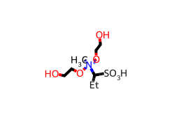 CCC([N+](C)(OCCO)OCCO)S(=O)(=O)O